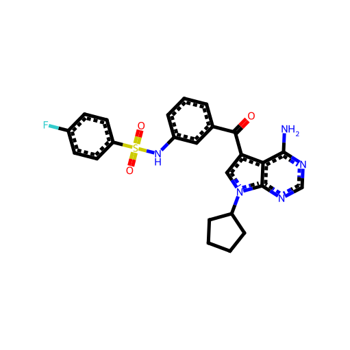 Nc1ncnc2c1c(C(=O)c1cccc(NS(=O)(=O)c3ccc(F)cc3)c1)cn2C1CCCC1